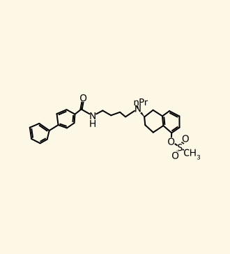 CCCN(CCCCNC(=O)c1ccc(-c2ccccc2)cc1)[C@@H]1CCc2c(cccc2OS(C)(=O)=O)C1